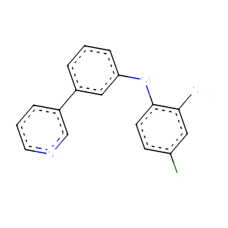 O=[N+]([O-])c1cc(Br)ccc1Nc1cccc(-c2cccnc2)c1